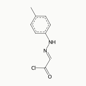 Cc1ccc(NN=CC(=O)Cl)cc1